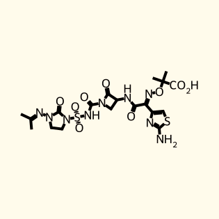 CC(C)=NN1CCN(S(=O)(=O)NC(=O)N2CC(NC(=O)C(=NOC(C)(C)C(=O)O)c3csc(N)n3)C2=O)C1=O